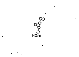 OB(O)c1ccc(-c2ccc3c4ccc(-c5cccc6ccccc56)cc4c4ccccc4c3c2)cc1